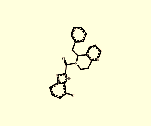 O=C(c1nc2cccc(Cl)c2[nH]1)N1CCc2ncccc2C1Cc1ccccc1